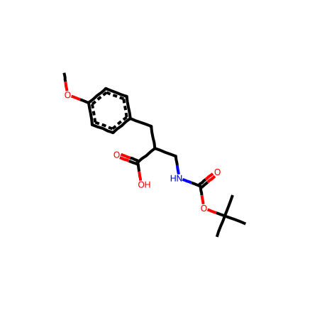 COc1ccc(CC(CNC(=O)OC(C)(C)C)C(=O)O)cc1